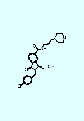 Cl.O=C(NCCCN1CCOCC1)c1ccc2c(c1)C(=O)N(Cc1ccc(Cl)cc1)C2=O